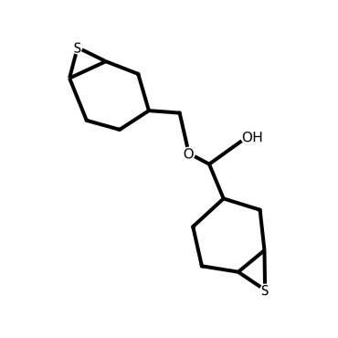 OC(OCC1CCC2SC2C1)C1CCC2SC2C1